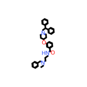 CCN(CCCNC(=O)c1cccc(OC2CCN(CC(c3ccccc3)c3ccccc3)CC2)c1)Cc1ccccc1